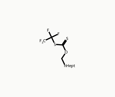 CCCCCCCCOC(=S)SC(F)(F)C(F)(F)F